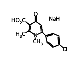 Cc1c(C(=O)O)c(=O)cc(-c2ccc(Cl)cc2)n1C.[NaH]